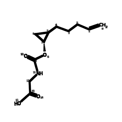 C=CCCCC1C[C@H]1OC(=O)NCC(=O)O